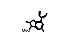 C=C/C(=C\C)c1cc(C)cc2c1CC(C)C2OC